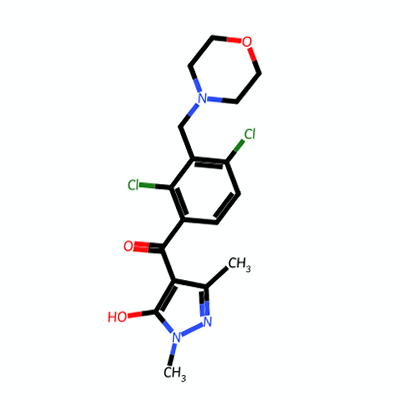 Cc1nn(C)c(O)c1C(=O)c1ccc(Cl)c(CN2CCOCC2)c1Cl